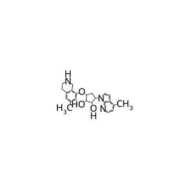 Cc1cc2c(c(OC3CC(n4ccc5c(C)ccnc54)C(O)C3O)c1)CNCC2